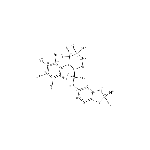 [2H]c1c([2H])c(C2[C@H](C([2H])([2H])Oc3ccc4c(c3)OC([2H])([2H])O4)CNC([2H])([2H])C2([2H])[2H])c([2H])c([2H])c1F